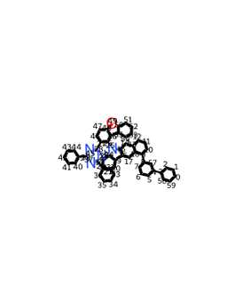 c1ccc(-c2cccc(-c3cccc4cc5c(cc34)c3ccccc3n5-c3c(-c4nc(-c5ccccc5)nc(-c5ccccc5)n4)ccc4oc5ccccc5c34)c2)cc1